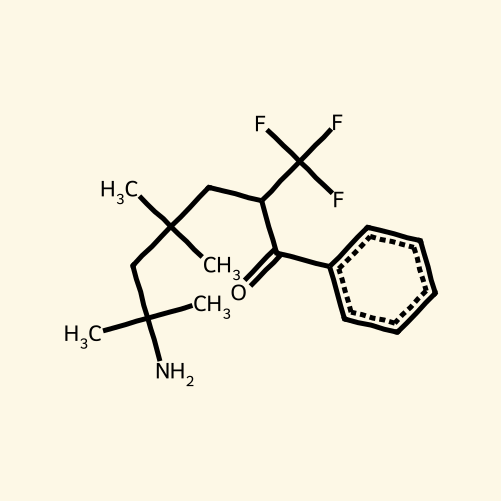 CC(C)(N)CC(C)(C)CC(C(=O)c1ccccc1)C(F)(F)F